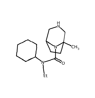 CCN(C(=O)N1C2CCC1(C)CNC2)C1CCCCC1